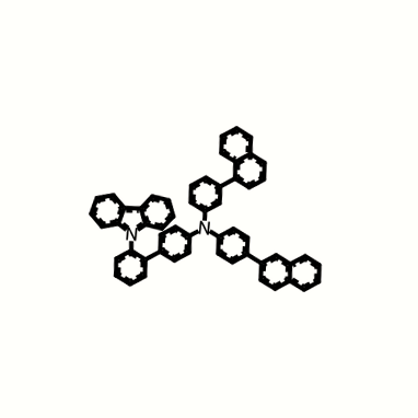 c1cc(-c2cccc3ccccc23)cc(N(c2ccc(-c3ccc4ccccc4c3)cc2)c2ccc(-c3ccccc3-n3c4ccccc4c4ccccc43)cc2)c1